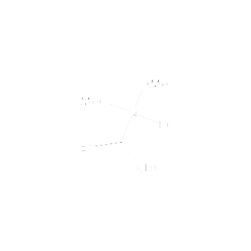 CCC(C=O)[Si](CC)(OC)OC